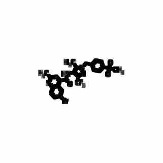 Cc1c(NC(=O)c2cc(C(F)(F)F)nc3ccc(Br)cc23)c(C(F)(F)F)nn1Cc1ccc(S(C)(=O)=O)cc1